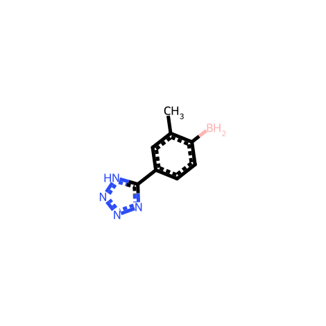 Bc1ccc(-c2nnn[nH]2)cc1C